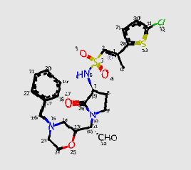 C/C(=C\S(=O)(=O)N[C@H]1CCN([C@H](C=O)C2CN(Cc3ccccc3)CCO2)C1=O)c1ccc(Cl)s1